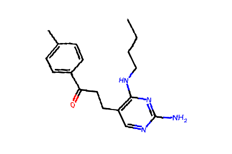 CCCCNc1nc(N)ncc1CCC(=O)c1ccc(C)cc1